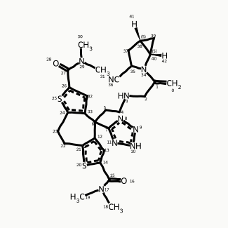 C=C(CNCCC1(c2nn[nH]n2)c2cc(C(=O)N(C)C)sc2CCc2sc(C(=O)N(C)C)cc21)N1C(C#N)C[C@@H]2C[C@@H]21